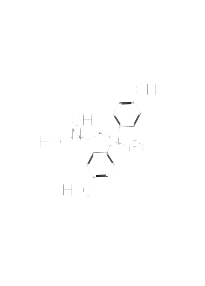 CCC[Si](CCN(C)C)(c1ccc(C)cc1)c1ccc(C)cc1